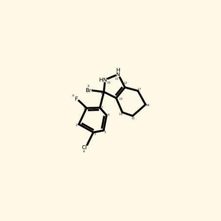 Fc1cc(Cl)ccc1C1(Br)NNC2=C1CCCC2